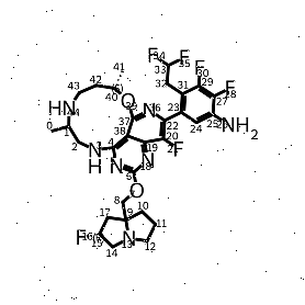 CC1CNc2nc(OCC34CCCN3C[C@H](F)C4)nc3c(F)c(-c4cc(N)c(F)c(F)c4CC(F)F)nc(c23)O[C@@H](C)CCN1